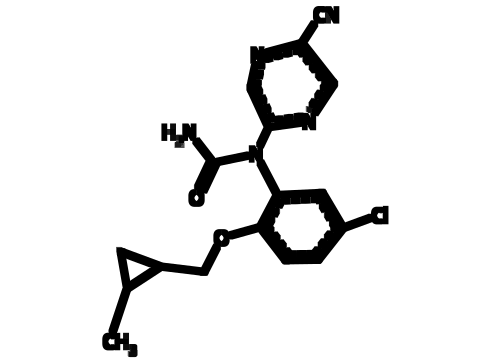 CC1CC1COc1ccc(Cl)cc1N(C(N)=O)c1cnc(C#N)cn1